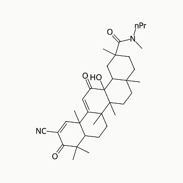 CCCN(C)C(=O)C1(C)CCC2(C)CCC3(C)C4(C)CCC5C(C)(C)C(=O)C(C#N)=CC5(C)C4=CC(=O)C3(O)C2C1